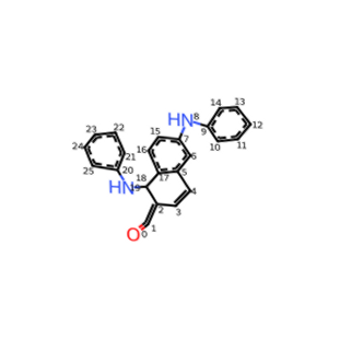 O=C=C1C=Cc2cc(Nc3ccccc3)ccc2C1Nc1ccccc1